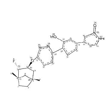 C[C@@]12CC[C@@](C)(C1)[C@H](F)[C@@H](Oc1ccc(-c3ccc(-c4cc[nH]c(=O)c4)cc3O)nn1)C2